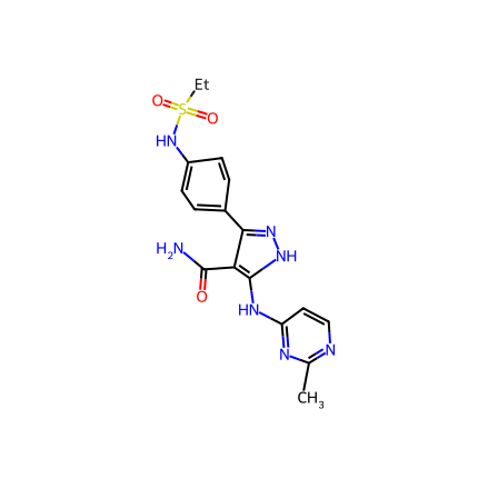 CCS(=O)(=O)Nc1ccc(-c2n[nH]c(Nc3ccnc(C)n3)c2C(N)=O)cc1